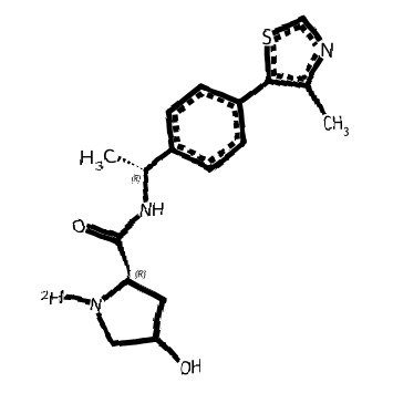 [2H]N1CC(O)C[C@@H]1C(=O)N[C@H](C)c1ccc(-c2scnc2C)cc1